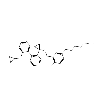 O=C(O)NCCCCc1ccc(Cl)c(CNC2(c3cnccc3-c3ccccc3OC3CC3)CC2)c1